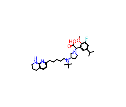 COc1c(F)cc(C(C)C)cc1C(C(=O)O)N1CC[C@@H](N(CCCCCc2ccc3c(n2)NCCC3)C(C)(C)C)C1